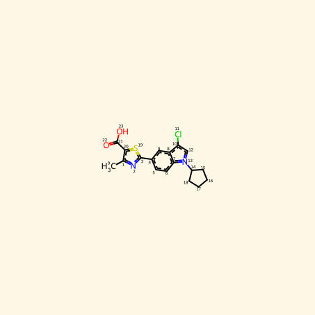 Cc1nc(-c2ccc3c(c2)c(Cl)cn3C2CCCC2)sc1C(=O)O